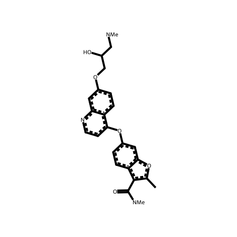 CNCC(O)COc1ccc2c(Oc3ccc4c(C(=O)NC)c(C)oc4c3)ccnc2c1